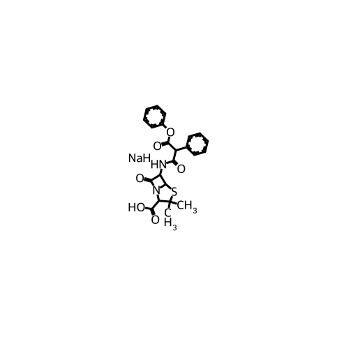 CC1(C)SC2C(NC(=O)C(C(=O)Oc3ccccc3)c3ccccc3)C(=O)N2C1C(=O)O.[NaH]